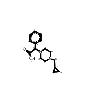 O=C(O)C(c1ccccc1)N1CCN(CC2CC2)CC1